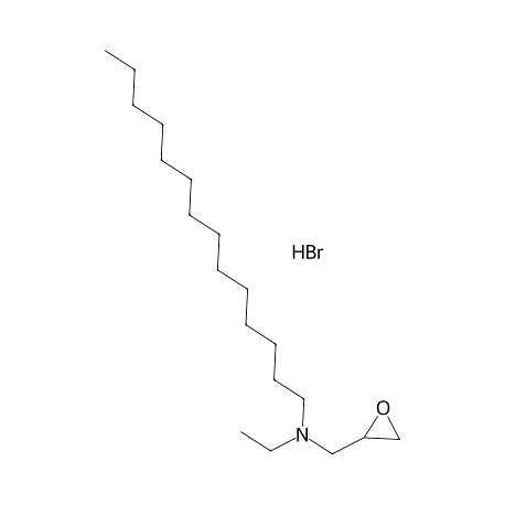 Br.CCCCCCCCCCCCCCN(CC)CC1CO1